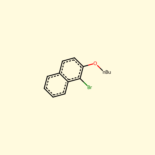 CCCCOc1ccc2ccccc2c1Br